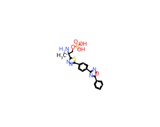 C[C@](N)(COP(=O)(O)O)c1nnc(-c2ccc(-c3noc(-c4ccccc4)n3)cc2)s1